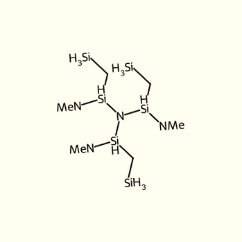 CN[SiH](C[SiH3])N([SiH](C[SiH3])NC)[SiH](C[SiH3])NC